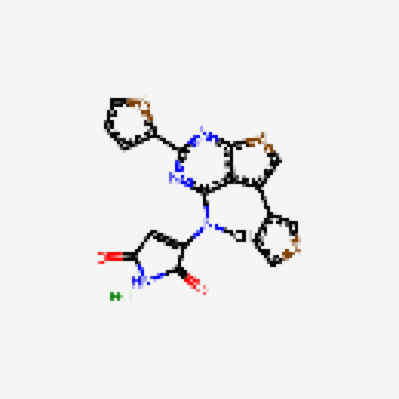 CN(C1=CC(=O)NC1=O)c1nc(-c2cccs2)nc2scc(-c3ccsc3)c12.Cl